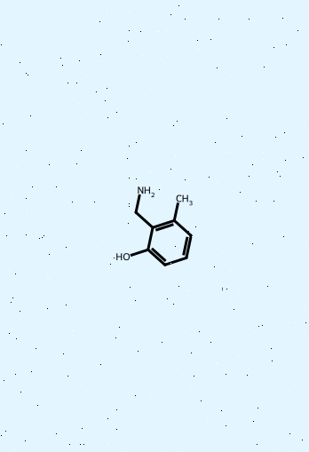 Cc1cccc(O)c1CN